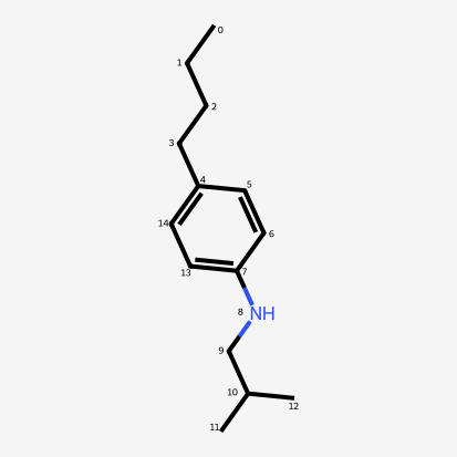 CCCCc1ccc(NCC(C)C)cc1